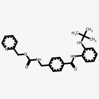 CC(C)(C)Nc1ccccc1NC(=O)c1ccc(CNC(=O)OCc2ccccn2)cc1